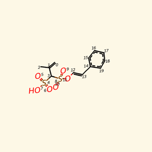 C=C(C)C(S(=O)(=O)O)S(=O)(=O)OC=Cc1ccccc1